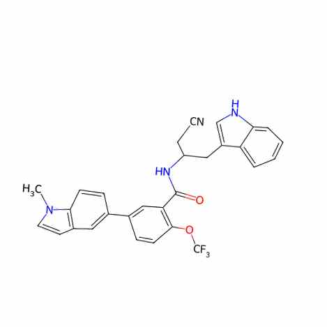 Cn1ccc2cc(-c3ccc(OC(F)(F)F)c(C(=O)NC(CC#N)Cc4c[nH]c5ccccc45)c3)ccc21